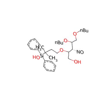 CCCCOCC(OCCCC)[C@H](N=O)C(CO)OCCC(C)(C)[Si](O)(c1ccccc1)c1ccccc1